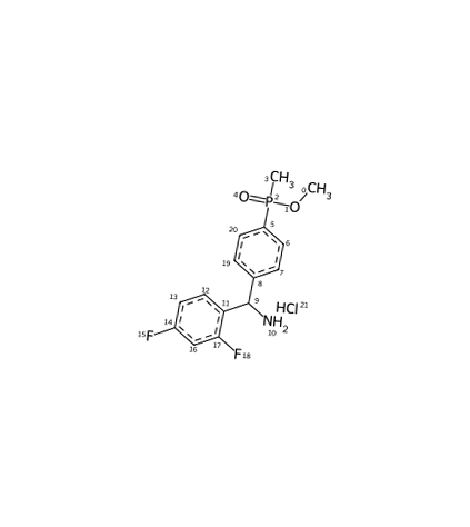 COP(C)(=O)c1ccc(C(N)c2ccc(F)cc2F)cc1.Cl